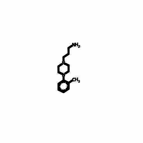 Cc1ccccc1N1CCN(CCCN)CC1